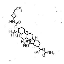 CC(C)C(OC(N)=O)C1CC[C@H]2C(O1)[C@H](O)[C@@]1(C)C3CC[C@H]4C(C)(C)C(OC(=O)NC5CN(CC(F)(F)F)C5)CCC45CC35CCC21C